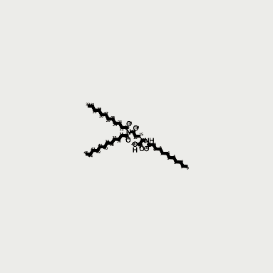 CCCCCCCCCCCC(=O)N[C@@H](CCC(=O)N(C(=O)CCCCCCCCCCC)C(=O)CCCCCCCCCCC)C(=O)O